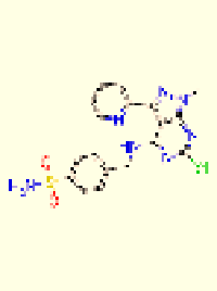 Cn1nc(-c2ccccn2)c2c(NCc3ccc(S(N)(=O)=O)cc3)nc(Cl)nc21